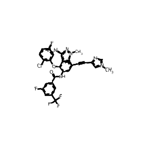 Cn1cnc(C#Cc2cc(NC(=O)c3cc(F)cc(C(F)(F)F)c3)c(Oc3cc(F)ccc3Cl)c3c(N)nn(C)c23)c1